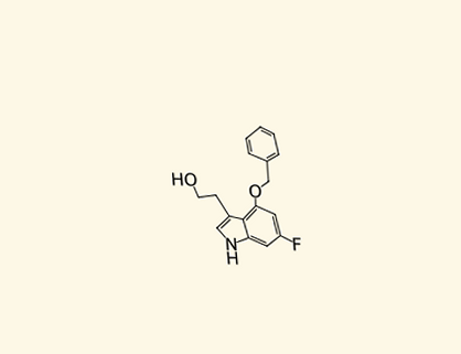 OCCc1c[nH]c2cc(F)cc(OCc3ccccc3)c12